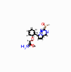 C[S+]([O-])c1ncc2ccc(-c3ccccc3OCC(N)=O)n2n1